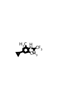 Cc1cc(C2CC2)cc(C)c1NC(=O)C(F)(F)F